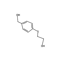 OCCSc1ccc(CO)cc1